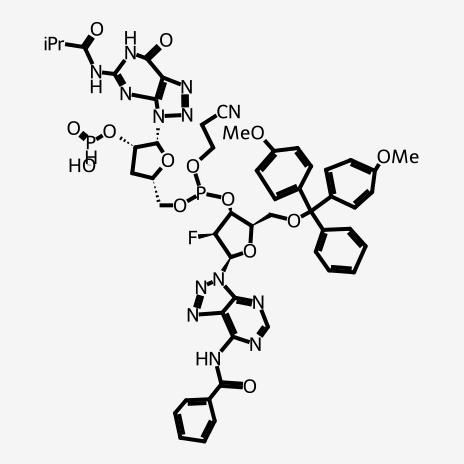 COc1ccc(C(OC[C@H]2O[C@@H](n3nnc4c(NC(=O)c5ccccc5)ncnc43)[C@@H](F)[C@@H]2OP(OCCC#N)OC[C@@H]2C[C@H](O[PH](=O)O)[C@H](n3nnc4c(=O)[nH]c(NC(=O)C(C)C)nc43)O2)(c2ccccc2)c2ccc(OC)cc2)cc1